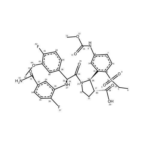 CCS(=O)(=O)c1ccc(NC(=O)OC)cc1[C@H]1[C@H](C(=O)O)CCN1C(=O)[C@@H](Nc1cc(C(N)=O)ccc1F)c1ccc(F)c(OC)c1